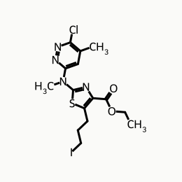 CCOC(=O)c1nc(N(C)c2cc(C)c(Cl)nn2)sc1CCCI